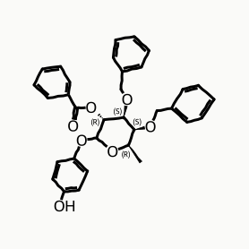 C[C@H]1OC(Oc2ccc(O)cc2)[C@H](OC(=O)c2ccccc2)[C@@H](OCc2ccccc2)[C@H]1OCc1ccccc1